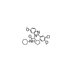 COc1ccc2nc(-c3ccc(OC)c(Cl)c3)n(C(C(=O)NC3CCCCC3)C3CCCC3)c2c1